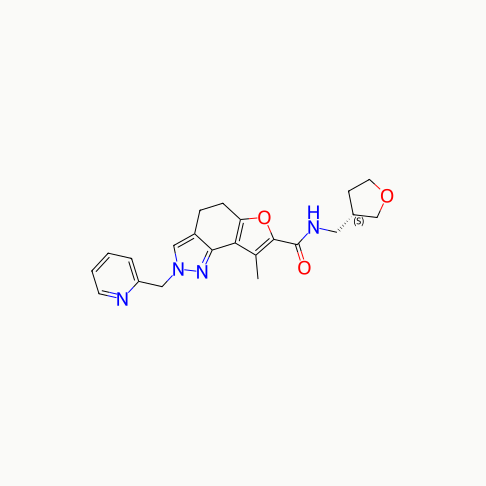 Cc1c(C(=O)NC[C@@H]2CCOC2)oc2c1-c1nn(Cc3ccccn3)cc1CC2